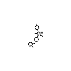 Cc1ccc(-c2[nH]c(=O)n(C3CCN(Cc4ccccc4C)CC3)c2C)cc1